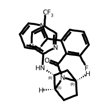 O=C(c1c(F)cccc1-c1ncccn1)N1[C@@H]2CC[C@H]1[C@H](Nc1ncc(C(F)(F)F)cn1)C2